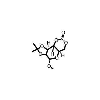 CO[C@H]1O[C@@H]2COS(=O)O[C@H]2[C@@H]2OC(C)(C)OC12